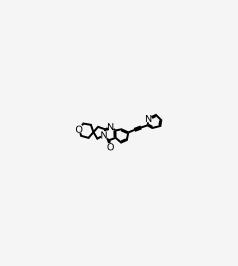 O=c1c2ccc(C#Cc3ccccn3)cc2nc2n1CC1(CCOCC1)C2